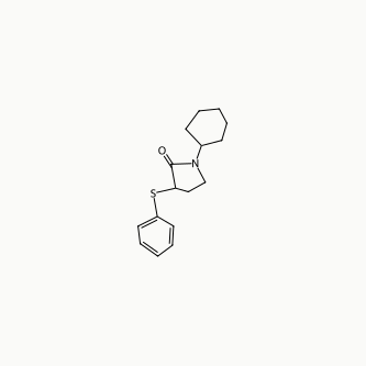 O=C1C(Sc2ccccc2)CCN1C1CCCCC1